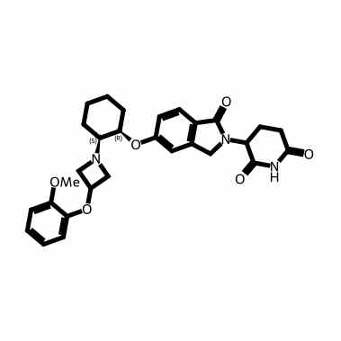 COc1ccccc1OC1CN([C@H]2CCCC[C@H]2Oc2ccc3c(c2)CN(C2CCC(=O)NC2=O)C3=O)C1